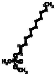 CCCCCCCCCCC=COP(C)(=O)OC